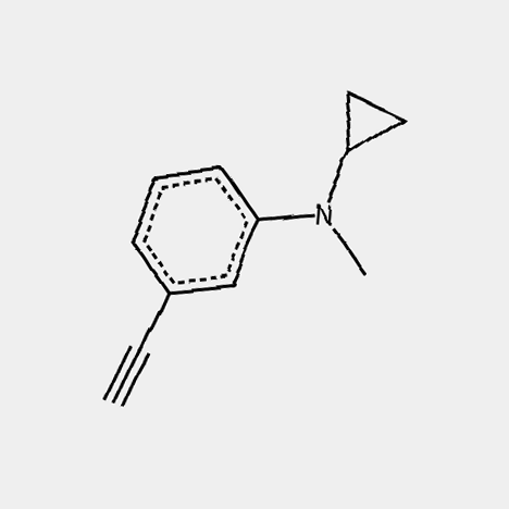 C#Cc1cccc(N(C)C2CC2)c1